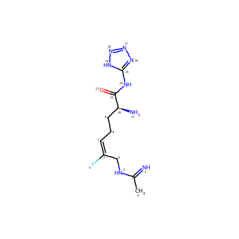 CC(=N)NC/C(F)=C\CC[C@H](N)C(=O)Nc1nnn[nH]1